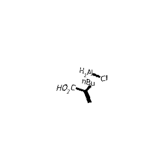 C=C(CCCC)C(=O)O.[AlH2][Cl]